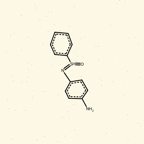 Nc1ccc(/N=[SH](=O)/c2ccccc2)cc1